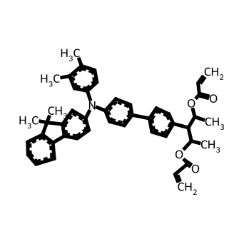 C=CC(=O)OC(C)C(c1ccc(-c2ccc(N(c3ccc(C)c(C)c3)c3ccc4c(c3)C(C)(C)c3ccccc3-4)cc2)cc1)C(C)OC(=O)C=C